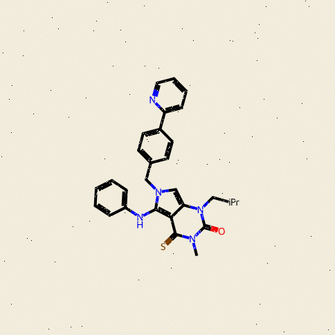 CC(C)Cn1c(=O)n(C)c(=S)c2c(Nc3ccccc3)n(Cc3ccc(-c4ccccn4)cc3)cc21